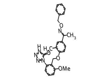 COc1cccc(-n2nn[nH]c2=O)c1COc1ccc(C(C)=NOCc2ccccc2)cc1C